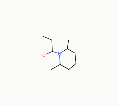 CCC([O])N1C(C)CCCC1C